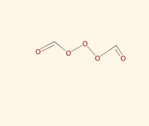 O=COOOC=O